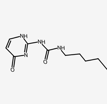 CCCCCNC(=O)Nc1nc(=O)cc[nH]1